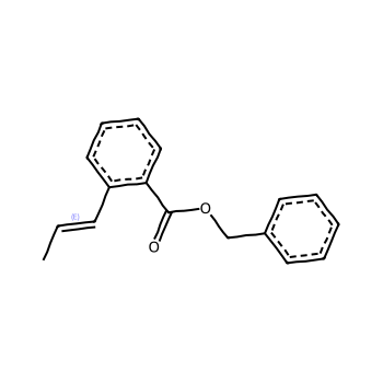 C/C=C/c1ccccc1C(=O)OCc1ccccc1